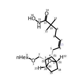 CCCCCCOC[C@@H]1[C@H](C/C=C\CCC(C)(C)C(=O)NO)[C@@H]2CC[C@H]1O2